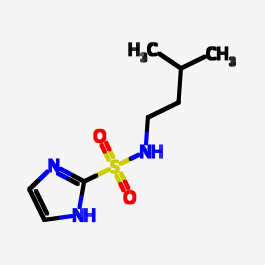 CC(C)CCNS(=O)(=O)c1ncc[nH]1